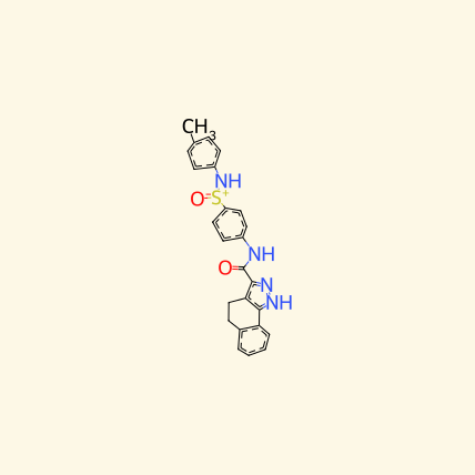 Cc1ccc(N[S+]([O-])c2ccc(NC(=O)c3n[nH]c4c3CCc3ccccc3-4)cc2)cc1